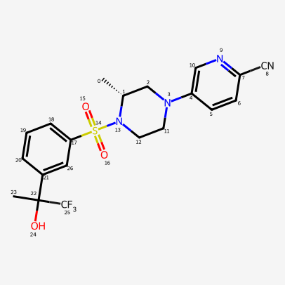 C[C@@H]1CN(c2ccc(C#N)nc2)CCN1S(=O)(=O)c1cccc(C(C)(O)C(F)(F)F)c1